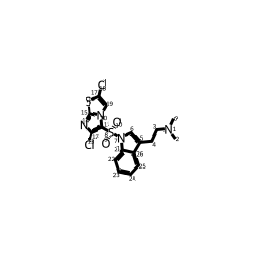 CN(C)CCc1cn(S(=O)(=O)c2c(Cl)nc3sc(Cl)cn23)c2ccccc12